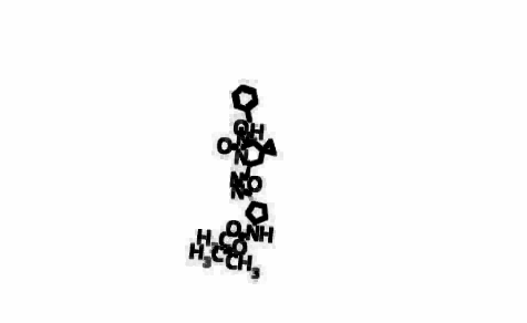 CC(C)(C)OC(=O)N[C@H]1CC[C@@H](c2nnc([C@@H]3CC4(CC4)[C@H]4CN3C(=O)N4OCc3ccccc3)o2)C1